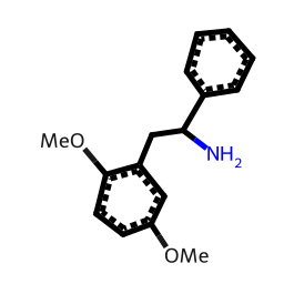 COc1ccc(OC)c(CC(N)c2ccccc2)c1